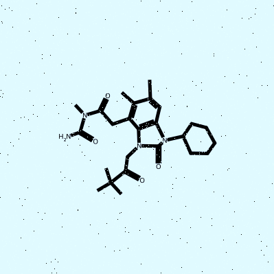 Cc1cc2c(c(CC(=O)N(C)C(N)=O)c1C)n(CC(=O)C(C)(C)C)c(=O)n2C1CCCCC1